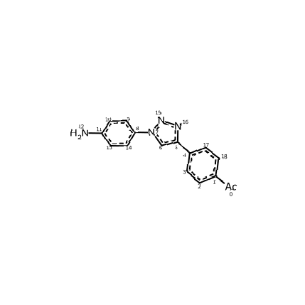 CC(=O)c1ccc(-c2cn(-c3ccc(N)cc3)nn2)cc1